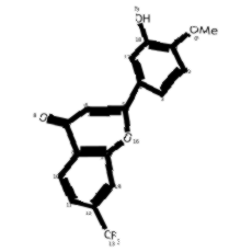 COc1ccc(-c2cc(=O)c3ccc(C(F)(F)F)cc3o2)cc1O